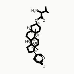 CC(C)C(N)C(=O)O[C@H]1CC[C@@]2(C)[C@H](CC[C@@H]3[C@@H]2CC[C@]2(C)[C@@H](c4ccc(=O)oc4)CC[C@]32O)C1